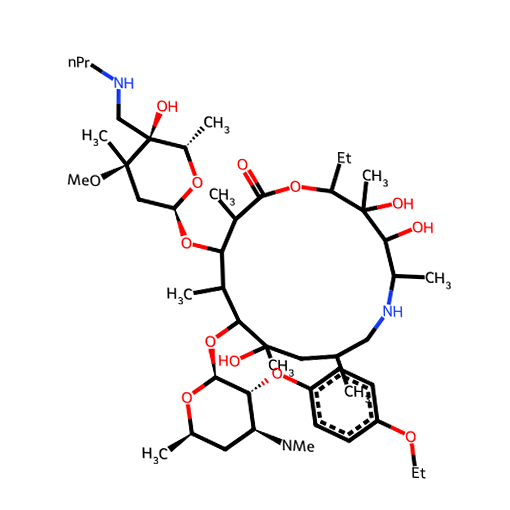 CCCNC[C@]1(O)[C@H](C)O[C@@H](OC2C(C)C(=O)OC(CC)C(C)(O)C(O)C(C)NCC(C)CC(C)(O)C(O[C@@H]3O[C@H](C)C[C@H](NC)[C@H]3Oc3ccc(OCC)cc3)C2C)C[C@@]1(C)OC